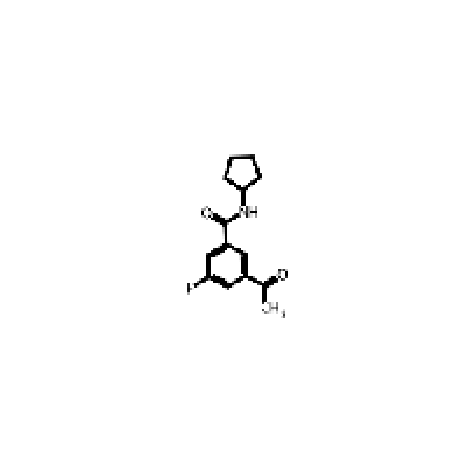 CC(=O)c1cc(F)cc(C(=O)NC2CCCC2)c1